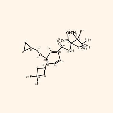 [2H]C([2H])C(C)(F)C(CC)(NC(=O)c1ccc(N2CC(F)(F)C2)c(OCC2CC2)n1)C(=O)O